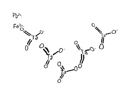 [Fe+3].[O]=[Ta](=[O])[O-].[O]=[Ta](=[O])[O-].[O]=[Ta](=[O])[O-].[O]=[Ta](=[O])[O-].[O]=[Ta](=[O])[O-].[Pb+2]